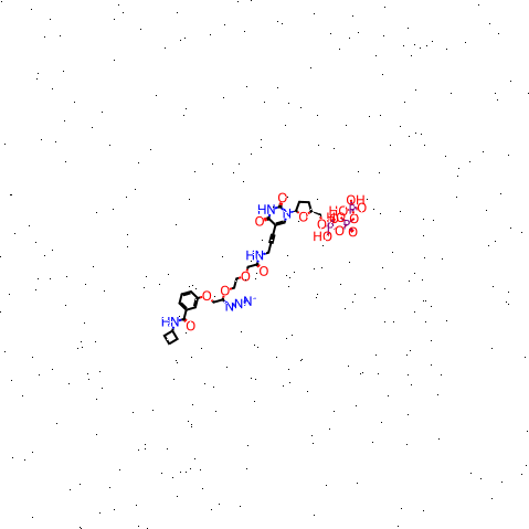 [N-]=[N+]=NC(COc1cccc(C(=O)NC2CCC2)c1)OCCOCC(=O)NCC#Cc1cn([C@H]2CC[C@@H](COP(=O)(O)OP(=O)(O)OP(=O)(O)O)O2)c(=O)[nH]c1=O